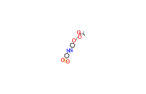 C=C(C)C(=O)OCCOc1ccc(/N=N/c2ccc(S(C)(=O)=O)cc2)cc1